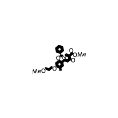 COCCCOc1cc2c(cc1C)-c1cc(=O)c(C(=O)OC)cn1[C@@H](c1ccccc1)O2